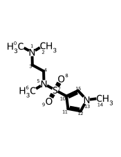 CN(C)CCN(C)S(=O)(=O)c1ccn(C)c1